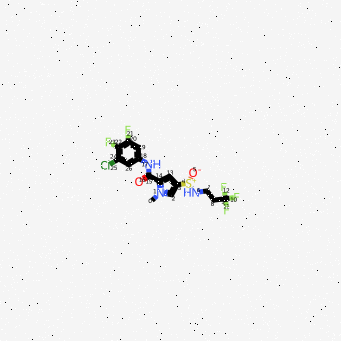 Cn1cc([S+]([O-])NCCC(F)(F)F)cc1C(=O)Nc1cc(F)c(F)c(Cl)c1